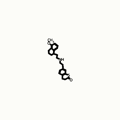 COc1cccc2c1CCCC2CCNCCc1ccc2c(c1)SC(=O)CC2